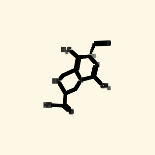 CC1=N[C@@H](C=O)C(C)=C2CNC(C(=O)O)CN12